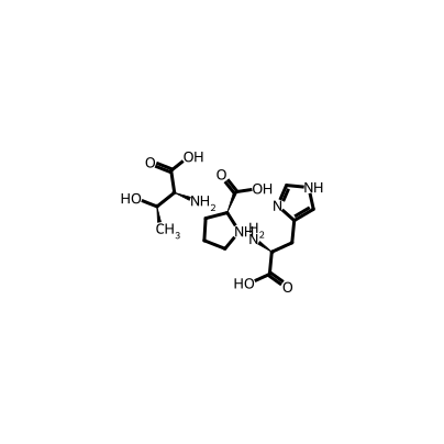 C[C@@H](O)[C@H](N)C(=O)O.N[C@@H](Cc1c[nH]cn1)C(=O)O.O=C(O)[C@@H]1CCCN1